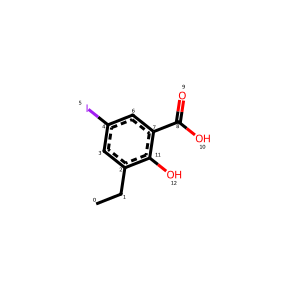 CCc1cc(I)cc(C(=O)O)c1O